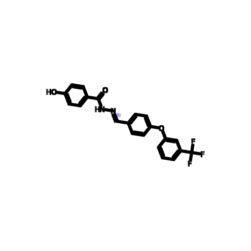 O=C(N/N=C/c1ccc(Oc2cccc(C(F)(F)F)c2)cc1)c1ccc(O)cc1